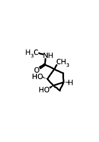 CNC(=O)C1(C)C[C@H]2C[C@]2(O)[C@@H]1O